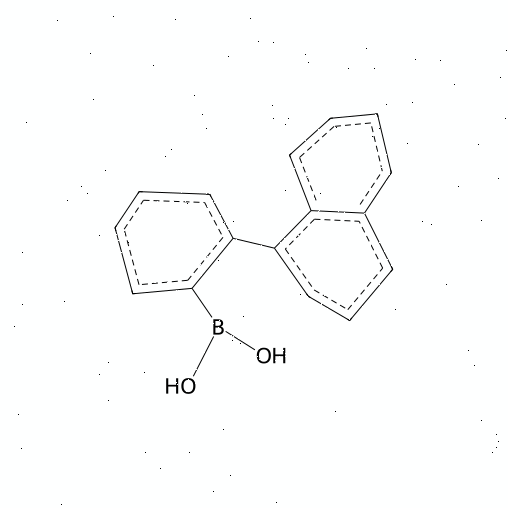 OB(O)c1ccccc1-c1cccc2ccccc12